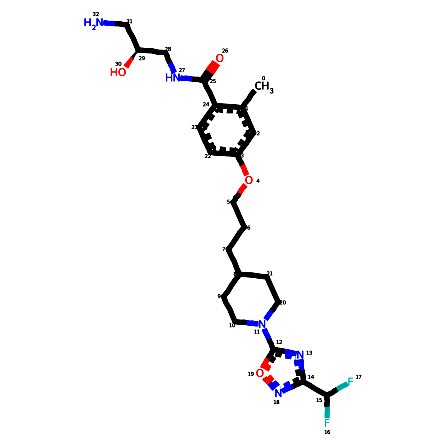 Cc1cc(OCCCC2CCN(c3nc(C(F)F)no3)CC2)ccc1C(=O)NC[C@@H](O)CN